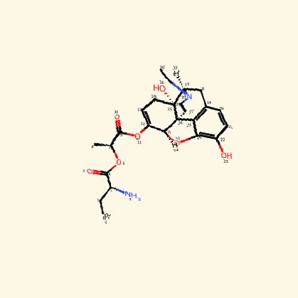 CC(C)C[C@H](N)C(=O)O[C@@H](C)C(=O)OC1=CC[C@@]2(O)[C@H]3Cc4ccc(O)c5c4[C@@]2(CCN3C)[C@H]1O5